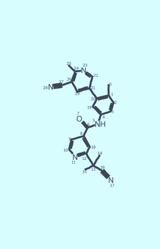 Cc1ccc(NC(=O)c2ccnc(C(C)(C)C#N)c2)cc1-c1cnc(C)c(C#N)c1